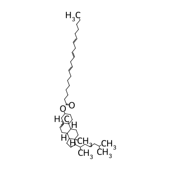 CCCCC/C=C/C/C=C/C/C=C/CCCCCCC(=O)O[C@H]1CC[C@@]2(C)C(=CC[C@H]3[C@@H]4CC[C@H]([C@H](C)CCCC(C)C)[C@@]4(C)CC[C@@H]32)C1